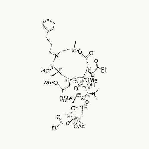 CCC(=O)O[C@@H]1CC(=O)O[C@H](C)CCN(CCCc2ccccc2)C[C@H](O)[C@H](C)C[C@H](CC(OC)OC)[C@H]([C@@H]2O[C@H](C)[C@@H](O[C@@H]3C[C@@](C)(OC(C)=O)[C@@H](OC(=O)CC)[C@H](C)O3)[C@H](N(C)C)[C@H]2O)[C@@H]1OC